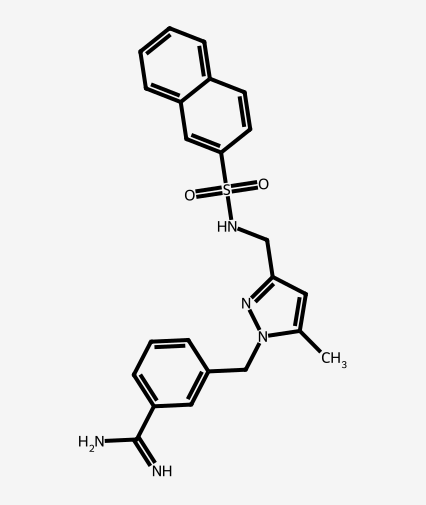 Cc1cc(CNS(=O)(=O)c2ccc3ccccc3c2)nn1Cc1cccc(C(=N)N)c1